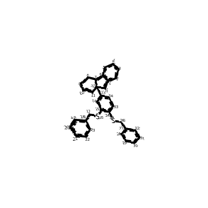 [C]1=c2ccccc2=C2C=CC=CC12c1[c]c(SCc2ccccc2)c(SCc2ccccc2)cc1